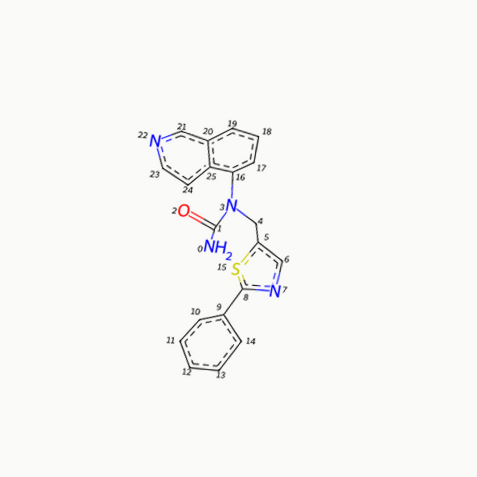 NC(=O)N(Cc1cnc(-c2ccccc2)s1)c1cccc2cnccc12